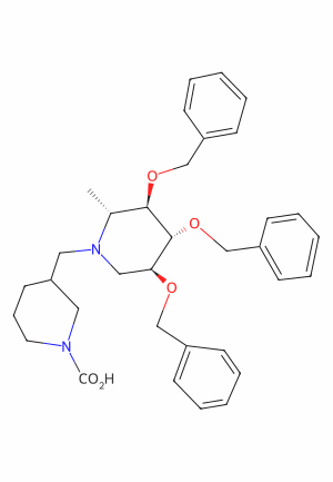 C[C@@H]1[C@@H](OCc2ccccc2)[C@H](OCc2ccccc2)[C@@H](OCc2ccccc2)CN1CC1CCCN(C(=O)O)C1